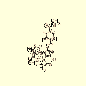 CNC(=O)c1cc(F)c(CSc2nc3c(n2-c2ccc(F)cc2)C(C)(c2ccc(Cl)c(OC)c2)CCC3)c(F)c1